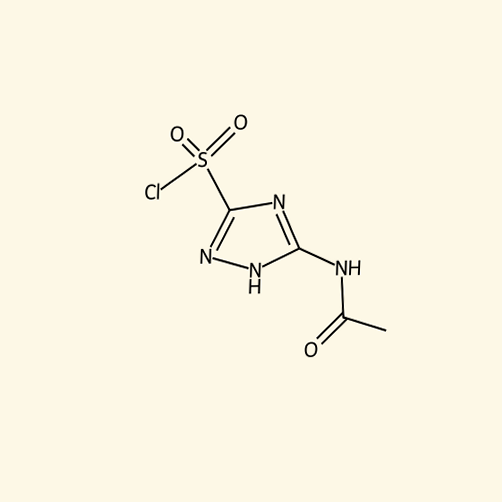 CC(=O)Nc1nc(S(=O)(=O)Cl)n[nH]1